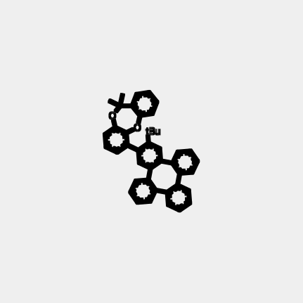 CC(C)(C)c1cc2c(cc1-c1cccc3c1Oc1ccccc1C(C)(C)O3)-c1ccccc1-c1ccccc1-c1ccccc1-2